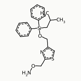 CC(C)C[Si](OCc1csc(CON)n1)(c1ccccc1)c1ccccc1